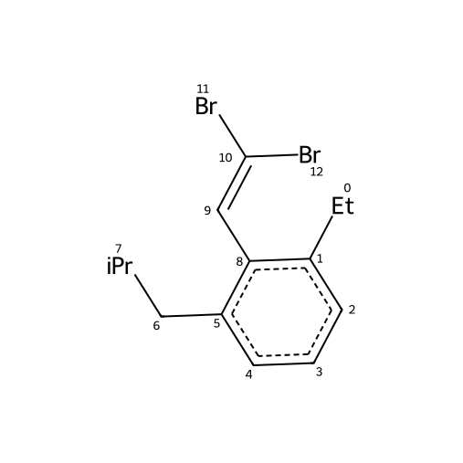 CCc1cccc(CC(C)C)c1C=C(Br)Br